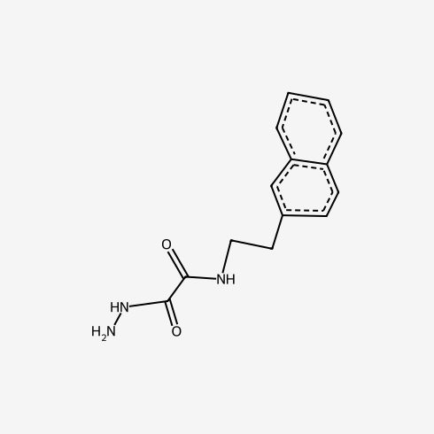 NNC(=O)C(=O)NCCc1ccc2ccccc2c1